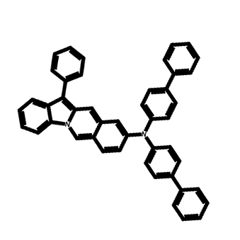 c1ccc(-c2ccc(N(c3ccc(-c4ccccc4)cc3)c3ccc4cn5c(cc4c3)c(-c3ccccc3)c3ccccc35)cc2)cc1